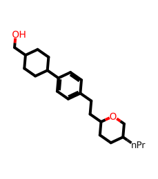 CCCC1CCC(CCc2ccc(C3CCC(CO)CC3)cc2)OC1